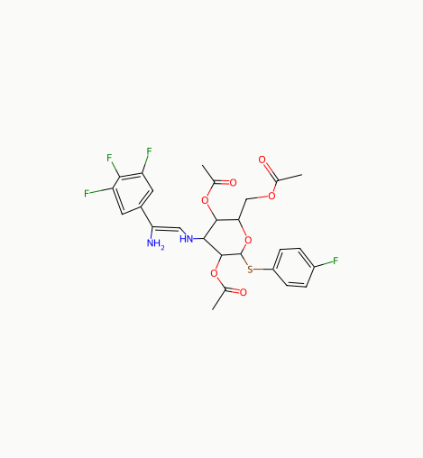 CC(=O)OCC1OC(Sc2ccc(F)cc2)C(OC(C)=O)C(N/C=C(\N)c2cc(F)c(F)c(F)c2)C1OC(C)=O